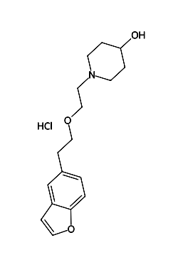 Cl.OC1CCN(CCOCCc2ccc3occc3c2)CC1